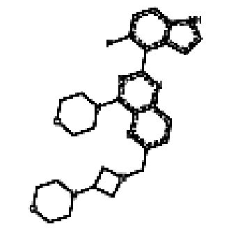 Fc1ccc2[nH]ccc2c1-c1nc(N2CCOCC2)c2nc(CN3CC(N4CCOCC4)C3)ccc2n1